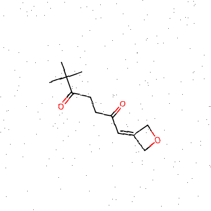 CC(C)(C)C(=O)CCC(=O)C=C1COC1